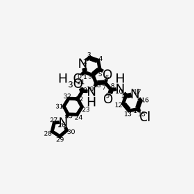 Cc1nccc2oc(C(=O)Nc3ccc(Cl)cn3)c(NC(=O)C3CCC(N4CCCC4)CC3)c12